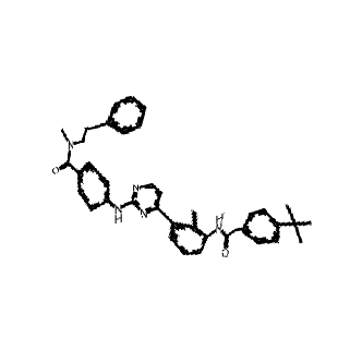 Cc1c(NC(=O)c2ccc(C(C)(C)C)cc2)cccc1-c1ccnc(Nc2ccc(C(=O)N(C)CCc3ccccc3)cc2)n1